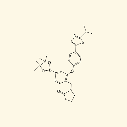 CC(C)c1nnc(-c2ccc(Oc3cc(B4OC(C)(C)C(C)(C)O4)ccc3CN3CCCC3=O)cc2)s1